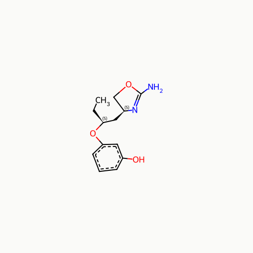 CC[C@@H](C[C@H]1COC(N)=N1)Oc1cccc(O)c1